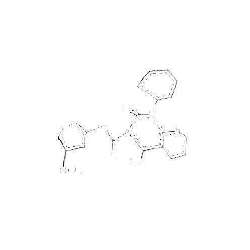 O=C(Cc1cccc([N+](=O)[O-])c1)c1c(O)c2cccnc2n(-c2ccccc2)c1=O